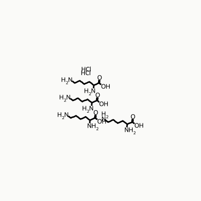 Cl.Cl.NCCCCC(N)C(=O)O.NCCCCC(N)C(=O)O.NCCCCC(N)C(=O)O.NCCCCC(N)C(=O)O